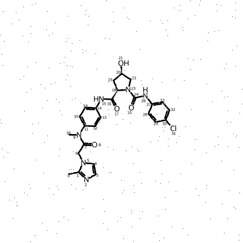 Cc1nccn1CC(=O)N(C)c1ccc(NC(=O)[C@H]2C[C@@H](O)CN2C(=O)Nc2ccc(Cl)cc2)cc1